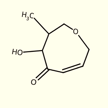 CC1COCC=CC(=O)C1O